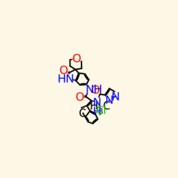 Cn1nccc1C(=O)N/C(C(=O)Nc1ccc2c(c1)NC(=O)C21CCOCC1)=C1/CCc2cccc(Cl)c21